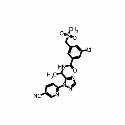 CC(NC(=O)c1cc(Cl)cc(CS(C)(=O)=O)c1)c1ncnn1-c1ccc(C#N)cn1